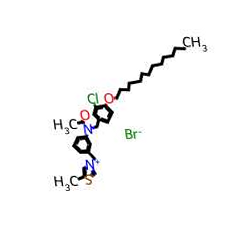 CCCCCCCCCCCCCCOc1ccc(CN(C(C)=O)c2cccc(C[n+]3csc(C)c3)c2)cc1Cl.[Br-]